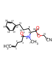 C=CCCC(=O)N(C)[C@@H](CCCc1ccccc1)C(=O)OCC#N